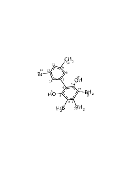 Bc1c(B)c(O)c(-c2cc(C)cc(Br)c2)c(O)c1B